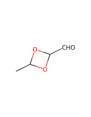 CC1OC(C=O)O1